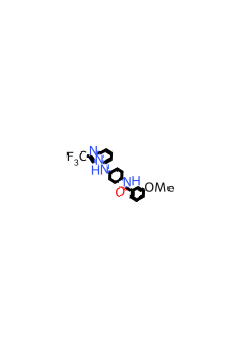 COc1cccc(C(=O)NC2CCC(Nc3cccc4nc(C(F)(F)F)cn34)CC2)c1